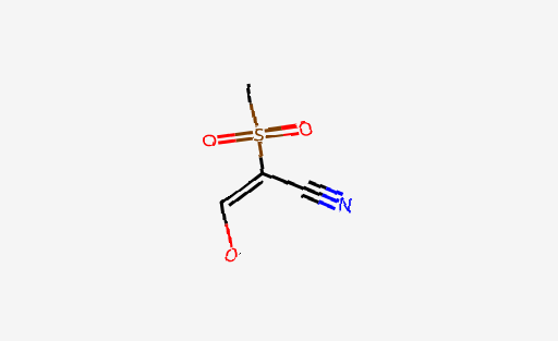 CS(=O)(=O)C(C#N)=C[O]